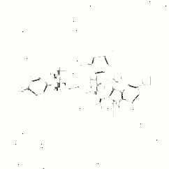 Cc1cc(C)cc(S(=O)(=O)c2c(C(=O)NCCCNS(=O)(=O)c3ccc(F)cc3)[nH]c3ccc(Cl)cc23)c1